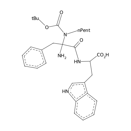 CCCCCN(C(=O)OC(C)(C)C)C(N)(Cc1ccccc1)C(=O)NC(Cc1c[nH]c2ccccc12)C(=O)O